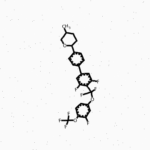 CC1CCC(c2ccc(-c3cc(F)c(C(F)(F)Oc4ccc(OC(F)(F)F)c(F)c4)c(F)c3)cc2)OC1